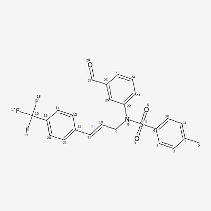 Cc1ccc(S(=O)(=O)N(C/C=C/c2ccc(C(F)(F)F)cc2)c2cccc(C=O)c2)cc1